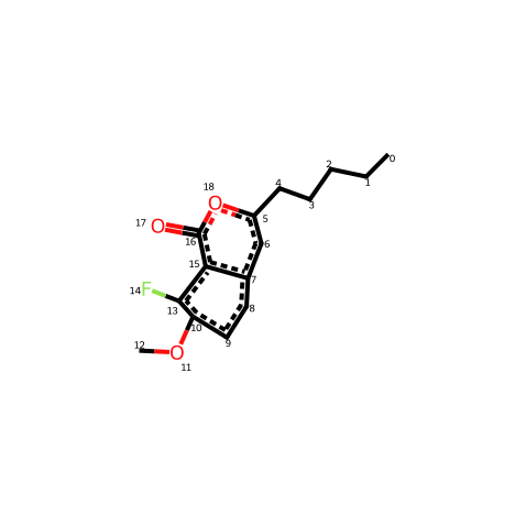 CCCCCc1cc2ccc(OC)c(F)c2c(=O)o1